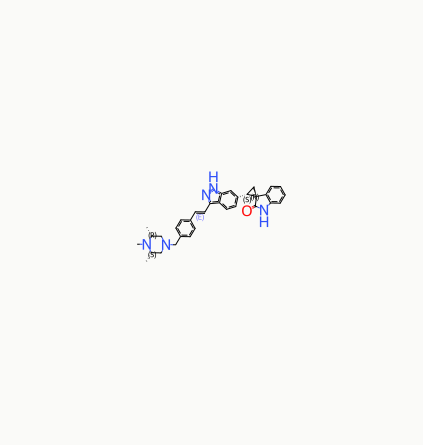 C[C@@H]1CN(Cc2ccc(/C=C/c3n[nH]c4cc([C@@H]5C[C@@]56C(=O)Nc5ccccc56)ccc34)cc2)C[C@H](C)N1C